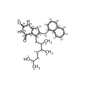 CC(O)CSC(C)C(C)Cc1c(Cc2cccc3ccccc23)sc2[nH]c(=O)[nH]c(=O)c12